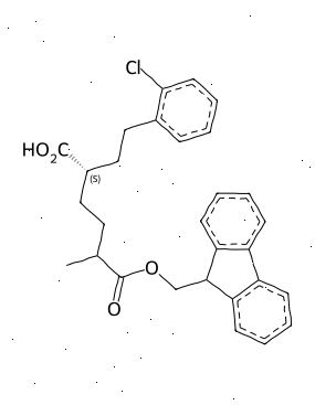 CC(CC[C@@H](CCc1ccccc1Cl)C(=O)O)C(=O)OCC1c2ccccc2-c2ccccc21